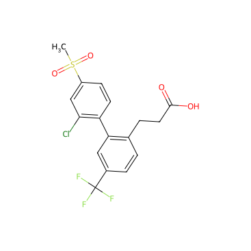 CS(=O)(=O)c1ccc(-c2cc(C(F)(F)F)ccc2CCC(=O)O)c(Cl)c1